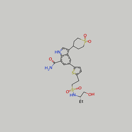 CC[C@@H](CO)NS(=O)(=O)CCc1ccc(-c2cc(C(N)=O)c3[nH]cc(C4CCS(=O)(=O)CC4)c3c2)s1